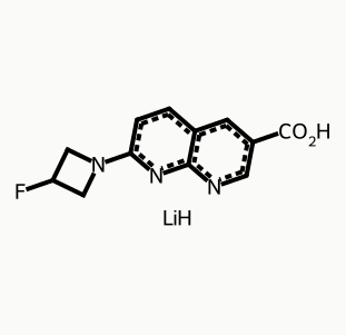 O=C(O)c1cnc2nc(N3CC(F)C3)ccc2c1.[LiH]